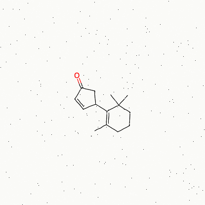 CC1=C(C2C=CC(=O)C2)C(C)(C)CCC1